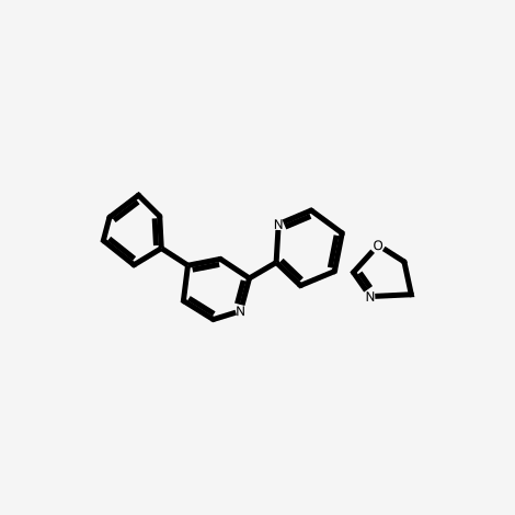 C1=NCCO1.c1ccc(-c2ccnc(-c3ccccn3)c2)cc1